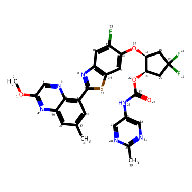 COc1cnc2c(-c3nc4cc(F)c(O[C@H]5CC(F)(F)C[C@H]5OC(=O)Nc5cnc(C)nc5)cc4s3)cc(C)cc2n1